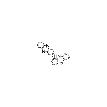 [c]1c(-c2cccc3c2Nc2ccccc2S3)ccc2nc3ccccc3nc12